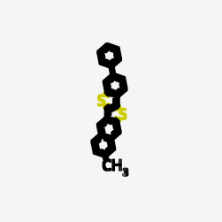 Cc1ccc2cc3c(cc2c1)sc1c2ccc(-c4ccccc4)cc2sc31